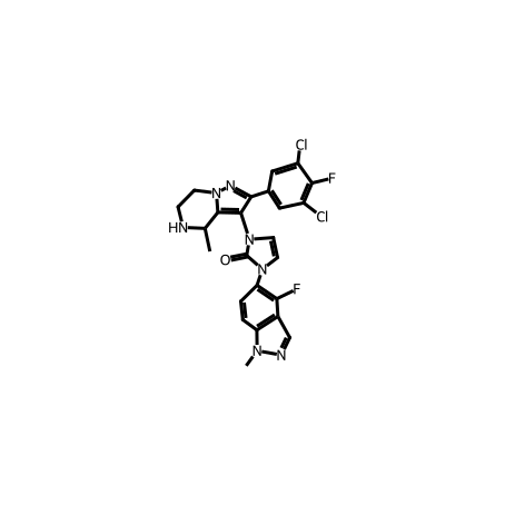 CC1NCCn2nc(-c3cc(Cl)c(F)c(Cl)c3)c(-n3ccn(-c4ccc5c(cnn5C)c4F)c3=O)c21